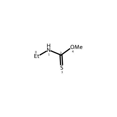 CCNC(=S)OC